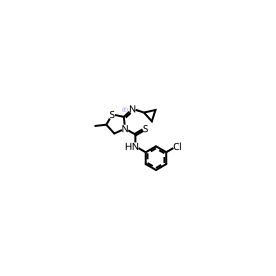 CC1CN(C(=S)Nc2cccc(Cl)c2)/C(=N\C2CC2)S1